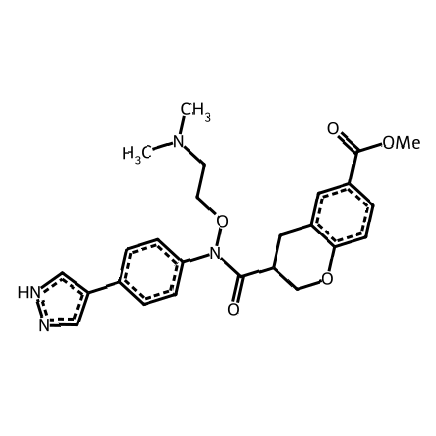 COC(=O)c1ccc2c(c1)CC(C(=O)N(OCCN(C)C)c1ccc(-c3cn[nH]c3)cc1)CO2